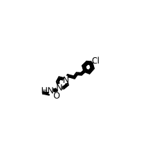 CCNC(=O)N1CCN(CCCCc2ccc(Cl)cc2)CC1